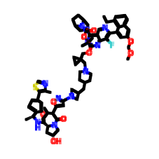 CCc1cccc2cc(OCOC)cc(-c3ncc4c(N5CC6CCC(C5)N6C(=O)OC(C)(C)C)nc(OCC5(CN6CCC(CC7CN(c8cc(C(C(=O)N9C[C@H](O)C[C@H]9C(=O)N[C@@H](C)c9ccc(-c%10scnc%10C)cc9)C(C)C)on8)C7)CC6)CC5)nc4c3F)c12